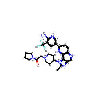 Cc1nc2cnc3ccc(-c4cnc(N)c(C(F)(F)F)c4)nc3c2n1C1CCN(CC(=O)N2CCCC2)CC1